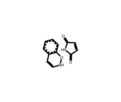 C1=Cc2ccccc2ON1.O=C1C=CC(=O)N1